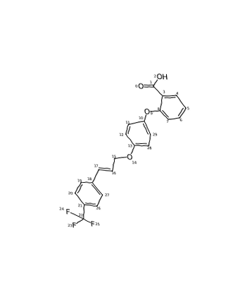 O=C(O)c1ccccc1Oc1ccc(OCC=Cc2ccc(C(F)(F)F)cc2)cc1